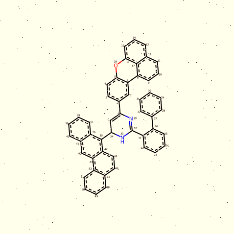 C1=C(c2ccc3c(c2)-c2cccc4cccc(c24)O3)N=C(c2ccccc2-c2ccccc2)NC1c1c2ccccc2cc2c1ccc1ccccc12